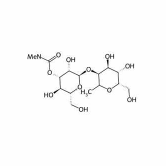 CNC(=O)O[C@@H]1[C@H](O)[C@@H](O[C@@H]2C(C)O[C@@H](CO)[C@@H](O)[C@@H]2O)O[C@H](CO)[C@H]1O